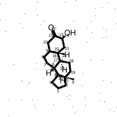 C[C@@]12CCC[C@H]1[C@@H]1CCC3CC(=O)C(O)C[C@@H]3[C@H]1CC2